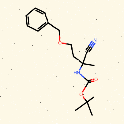 CC(C#N)(CCOCc1ccccc1)NC(=O)OC(C)(C)C